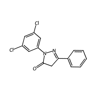 O=C1CC(c2ccccc2)=NN1c1cc(Cl)cc(Cl)c1